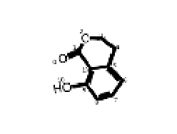 O=C1O[CH]Cc2cccc(O)c21